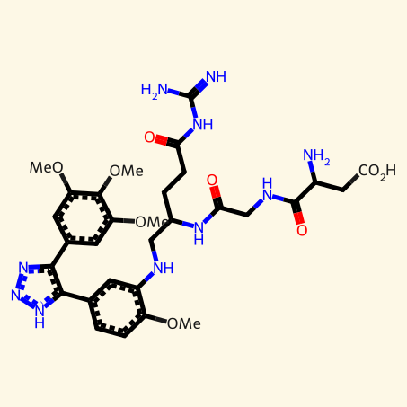 COc1ccc(-c2[nH]nnc2-c2cc(OC)c(OC)c(OC)c2)cc1NCC(CCC(=O)NC(=N)N)NC(=O)CNC(=O)C(N)CC(=O)O